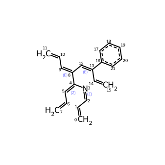 C=C\C=N/C(=C\C=C)C(=C/C=C)/C=C(\C=C)c1ccccc1